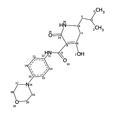 CC(C)CC1CC(O)=C(C(=O)Nc2ccc(N3CCOCC3)cc2)C(=O)N1